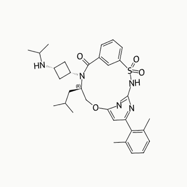 Cc1cccc(C)c1-c1cc2nc(n1)NS(=O)(=O)c1cccc(c1)C(=O)N([C@H]1C[C@@H](NC(C)C)C1)[C@H](CC(C)C)CO2